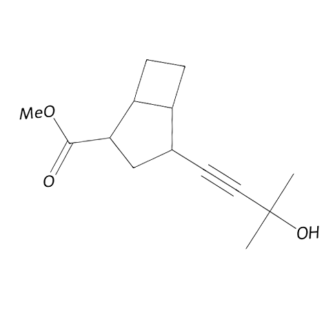 COC(=O)C1CC(C#CC(C)(C)O)C2CCC12